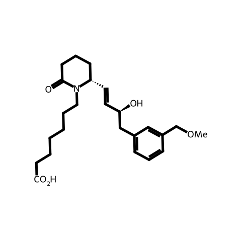 COCc1cccc(C[C@H](O)/C=C/[C@H]2CCCC(=O)N2CCCCCCC(=O)O)c1